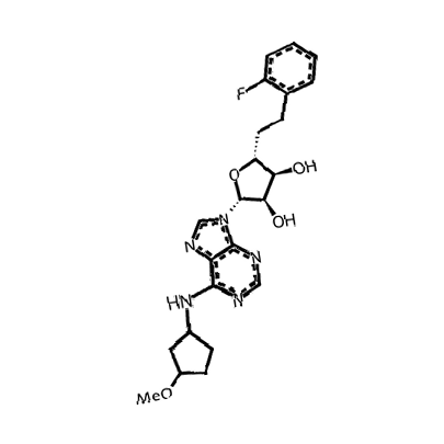 COC1CCC(Nc2ncnc3c2ncn3[C@@H]2O[C@H](CCc3ccccc3F)[C@@H](O)[C@H]2O)C1